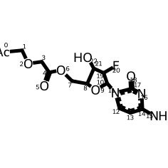 CC(=O)COCC(=O)OCC1OC(n2ccc(N)nc2=O)C(F)C1O